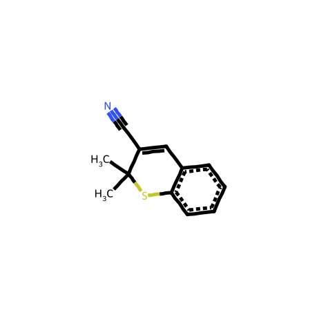 CC1(C)Sc2ccccc2C=C1C#N